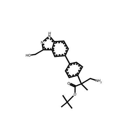 CC(C)(C)OC(=O)C(C)(CN)c1ccc(-c2ccc3[nH]nc(CO)c3c2)cc1